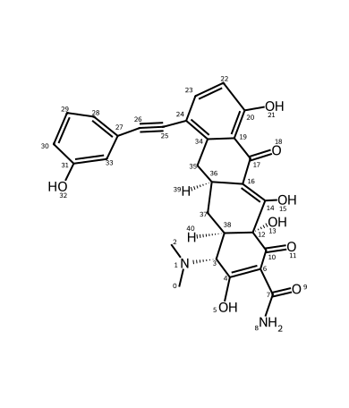 CN(C)[C@H]1C(O)=C(C(N)=O)C(=O)[C@]2(O)C(O)=C3C(=O)c4c(O)ccc(C#Cc5cccc(O)c5)c4C[C@@H]3C[C@H]12